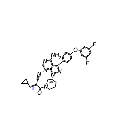 N#C/C(=C\C1CC1)C(=O)N1CCC[C@@H](n2nc(-c3ccc(Oc4cc(F)cc(F)c4)cc3)c3c(N)ncnc32)C1